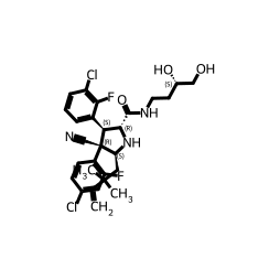 C=CC(C)(C)C[C@@H]1N[C@@H](C(=O)NCC[C@H](O)CO)[C@H](c2cccc(Cl)c2F)[C@@]1(C#N)c1ccc(Cl)cc1F